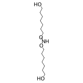 OCCCCCCCONOCCCCCCCO